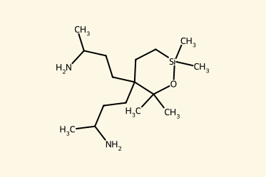 CC(N)CCC1(CCC(C)N)CC[Si](C)(C)OC1(C)C